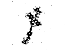 C[C@@H]1[C@H](I)c2c(C(F)(F)F)nn(CC(=O)N[C@@H](Cc3cc(F)cc(F)c3)c3nc4nc(C#Cc5ccc(-c6c[nH]c(C7CCCN7)n6)cc5)sc4cc3-c3ccc4c(c3)C(=O)NC4)c2C1(F)F